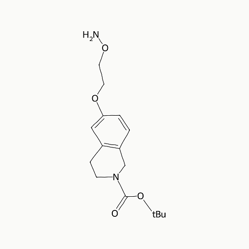 CC(C)(C)OC(=O)N1CCc2cc(OCCON)ccc2C1